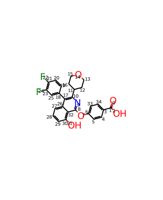 O=C(O)c1ccc(Oc2nc(C3CCOCC3)c(-c3ccc(F)c(F)c3)c3cccc(O)c23)cc1